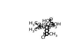 CCOC(CN[C@H]1c2cc3nc(Cl)cc(C)c3cc2OC(C)(C)[C@@H]1O)OCC.O=C(O)C=CC(=O)O